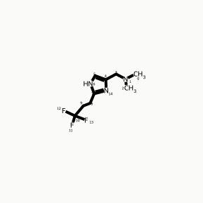 CN(C)Cc1c[nH]c(CCC(F)(F)F)n1